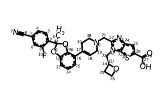 C[C@@]1(c2ccc(C#N)cc2F)Oc2cccc(C3=CCN(Cc4nc5cc(C(=O)O)sc5n4C[C@@H]4CCO4)CC3)c2O1